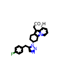 O=C(O)Cc1c2c(n3ccccc13)C[C@H](n1nncc1Cc1ccc(F)cc1)CC2